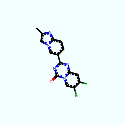 Cc1cn2cc(-c3nc(=O)n4cc(Br)c(F)cc4n3)ccc2n1